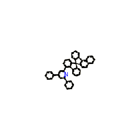 c1ccc(-c2cc(-c3ccccc3)nc(-c3cccc4c3-c3ccccc3C43c4ccccc4-c4c3ccc3ccccc43)c2)cc1